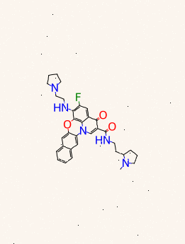 CN1CCCC1CCNC(=O)c1cn2c3c(c(NCCN4CCCC4)c(F)cc3c1=O)Oc1cc3ccccc3cc1-2